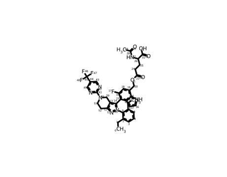 CCc1cccc(CC)c1-n1nc2c(c1-c1c(F)cc(COC(=O)CCC(NC(C)=O)C(=O)O)c3[nH]ccc13)CN(c1ncc(C(F)(F)F)cn1)CC2